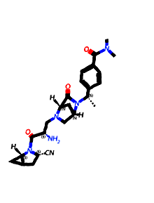 C[C@@H](c1ccc(C(=O)N(C)C)cc1)N1C(=O)[C@@H]2C[C@H]1CN2C[C@H](N)C(=O)N1[C@H](C#N)CC2C[C@@H]21